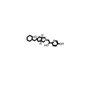 Oc1ccc(C(O)CN2C[C@@H]3C[C@](O)(CC4CCCCC4)C[C@@H]3C2)nc1